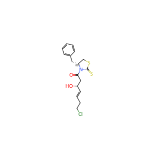 O=C(CC(O)C=CCCCl)N1C(=S)SC[C@H]1Cc1ccccc1